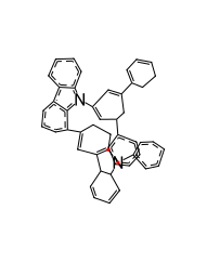 C1=CCCC(C2=CC(n3c4ccccc4c4cccc(C5=CC6=C(CC5)N(c5ccccc5)C5C=CC=CC65)c43)=CC(c3ccccc3)C2)=C1